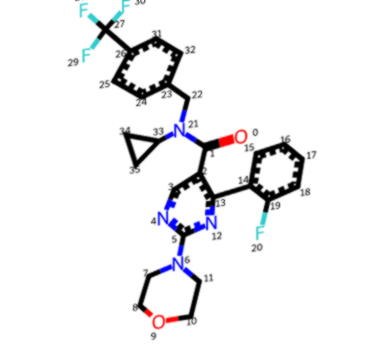 O=C(c1cnc(N2CCOCC2)nc1-c1ccccc1F)N(Cc1ccc(C(F)(F)F)cc1)C1CC1